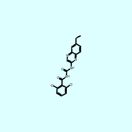 CCc1ccc2nc(NC(=O)NC(=O)c3c(Cl)cccc3Cl)cnc2c1